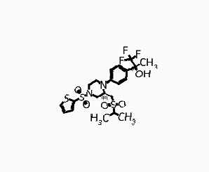 CC(C)S(=O)(=O)C[C@H]1CN(S(=O)(=O)c2cccs2)CCN1c1ccc([C@@](C)(O)C(F)(F)F)cc1